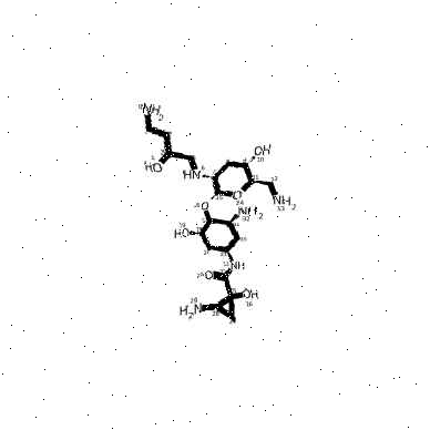 NCCC(O)CN[C@@H]1C[C@H](O)[C@@H](CN)O[C@@H]1OC1[C@H](O)C[C@H](NC(=O)C2(O)CC2N)C[C@@H]1N